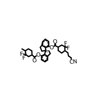 CC1CCC(C(=O)Oc2cccc3c2[C@@]2(CC3)CCc3cccc(OC(=O)C4CCC(CCCC#N)C(F)(F)C4)c32)CC1(F)F